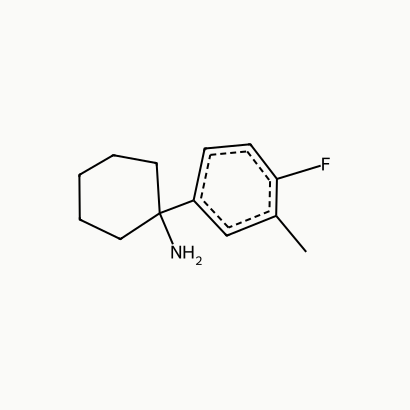 Cc1cc(C2(N)CCCCC2)ccc1F